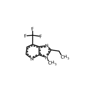 CCc1nc2c(C(F)(F)F)ccnc2n1C